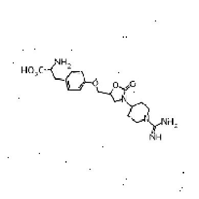 N=C(N)N1CCC(N2CC(COc3ccc(CC(N)C(=O)O)cc3)OC2=O)CC1